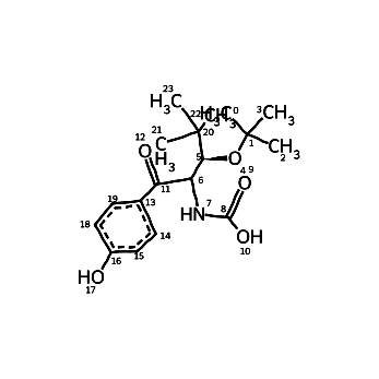 CC(C)(C)O[C@@H](C(NC(=O)O)C(=O)c1ccc(O)cc1)C(C)(C)C